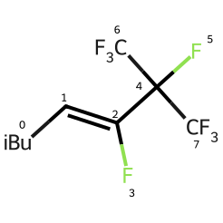 CCC(C)/C=C(\F)C(F)(C(F)(F)F)C(F)(F)F